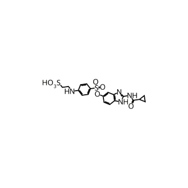 O=C(Nc1nc2cc(OS(=O)(=O)c3ccc(NCCS(=O)(=O)O)cc3)ccc2[nH]1)C1CC1